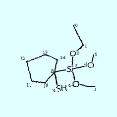 CCO[Si](OC)(OC)C1(S)CCCCC1